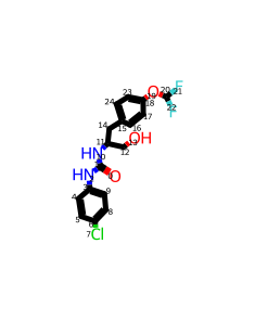 O=C(Nc1ccc(Cl)cc1)NC(CO)Cc1ccc(OC(F)F)cc1